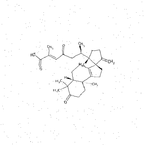 C=C1CC[C@@](C)([C@H](C)CC(=O)/C=C(\C)C(=O)O)[C@]12CCC1=C2CC[C@H]2C(C)(C)C(=O)CC[C@]12C